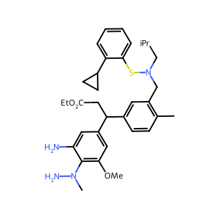 CCOC(=O)CC(c1ccc(C)c(CN(CC(C)C)Sc2ccccc2C2CC2)c1)c1cc(N)c(N(C)N)c(OC)c1